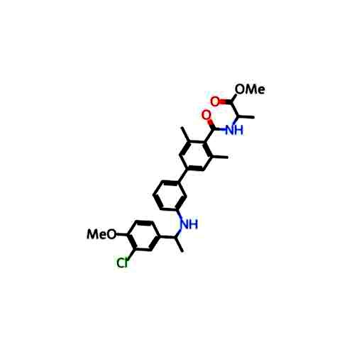 COC(=O)C(C)NC(=O)c1c(C)cc(-c2cccc(NC(C)c3ccc(OC)c(Cl)c3)c2)cc1C